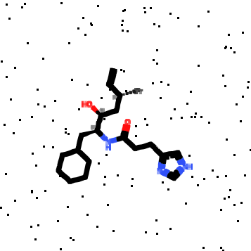 C=C[C@@H](C[C@H](O)[C@H](CC1CCCCC1)NC(=O)CCc1c[nH]cn1)C(C)C